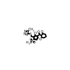 Cn1nnnc1SCc1c(S(C)(=O)=O)ccc(C(=O)C2C(=O)CCCC2=O)c1Cl